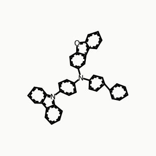 c1ccc(-c2ccc(N(c3ccc(-n4c5ccccc5c5ccccc54)cc3)c3ccc4oc5ccccc5c4c3)cc2)cc1